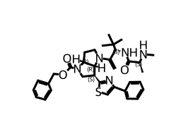 C=C([C@@H](NC(=O)[C@H](C)NC)C(C)(C)C)N1CC[C@@H]2[C@H]1[C@@H](c1nc(-c3ccccc3)cs1)CN2C(=O)OCc1ccccc1